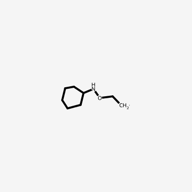 [CH2]CONC1CCCCC1